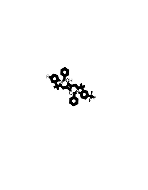 CC1(C)C(/C=C2/C(=O)C(/C=C3\N(Cc4ccccc4)c4ccc(C(F)(F)F)cc4C3(C)C)=C2O)=[N+](Cc2ccccc2)c2ccc(F)cc21